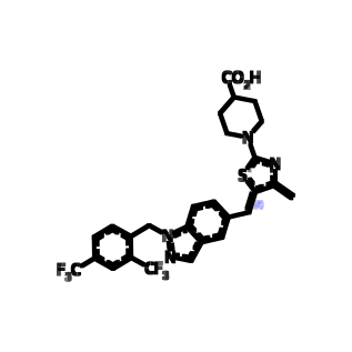 C=c1nc(N2CCC(C(=O)O)CC2)s/c1=C\c1ccc2c(cnn2Cc2ccc(C(F)(F)F)cc2C(F)(F)F)c1